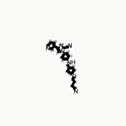 N#CCCCOc1ccc(CNc2ccc(-n3cc(-c4cccnc4)nc3C#N)cc2)cc1